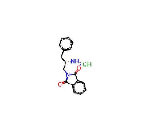 Cl.N[C@@H](Cc1ccccc1)CN1C(=O)c2ccccc2C1=O